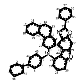 c1ccc(-c2ccc(N(c3ccc4ccc5ccccc5c4c3)c3cccc4oc5cc6oc(-c7ccccc7)nc6cc5c34)cc2)cc1